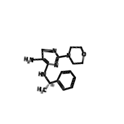 C[C@H](Nc1nc(N2CCOCC2)ncc1N)c1ccccc1